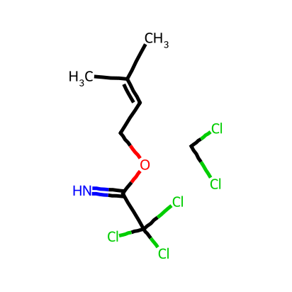 CC(C)=CCOC(=N)C(Cl)(Cl)Cl.ClCCl